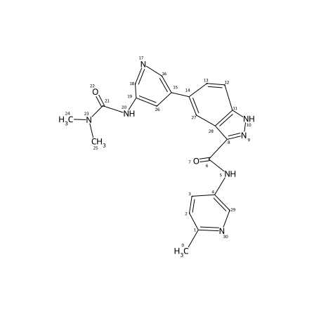 Cc1ccc(NC(=O)c2n[nH]c3ccc(-c4cncc(NC(=O)N(C)C)c4)cc23)cn1